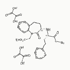 CCOC(=O)CN1C(=O)[C@@H](N[C@@H](CCc2ccccc2)C(=O)OC(C)(C)C)CCc2ccccc21.O=C(O)C(=O)O.O=C(O)C(=O)O